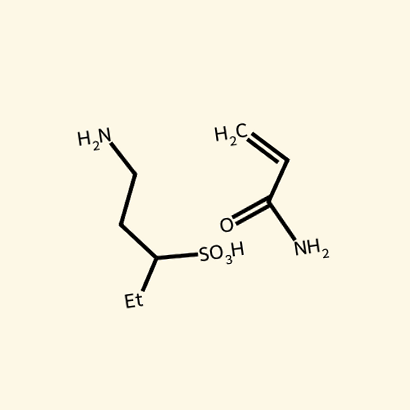 C=CC(N)=O.CCC(CCN)S(=O)(=O)O